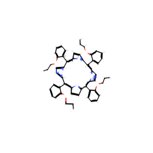 O=C(O)CCOc1ccccc1-c1c2nc(c(-c3ccccc3OCCC(=O)O)c3ccc([nH]3)c(-c3ccccc3OCCC(=O)O)c3nc(c(-c4ccccc4OCCC(=O)O)c4ccc1[nH]4)C=C3)C=C2